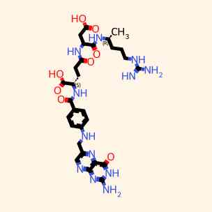 C[C@H](CCCNC(=N)N)NC(=O)C(CC(=O)O)NC(=O)CC[C@H](NC(=O)c1ccc(NCc2cnc3nc(N)[nH]c(=O)c3n2)cc1)C(=O)O